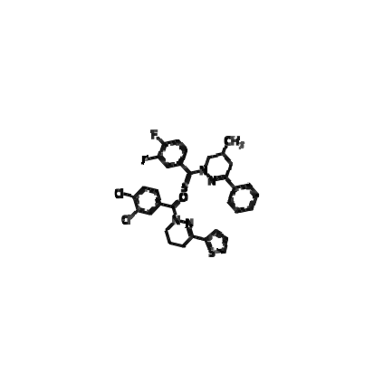 CC1CC(c2ccccc2)=NN(C(=S)c2ccc(F)c(F)c2)C1.O=C(c1ccc(Cl)c(Cl)c1)N1CCCC(c2cccs2)=N1